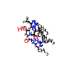 Cc1cc(CNC(=O)[C@@H]2C[C@@H](O)CN2C(=O)[C@@H](n2cc(C3CC3)nn2)C(C)(C)C)nc(N(C)C)n1